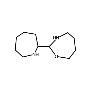 C1CCNC(C2NCCCCO2)CC1